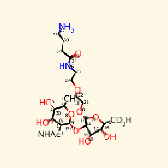 CC(=O)N[C@H]1C(O)[C@H](O)C(C)O[C@H]1OC1C(O)[C@H](O)C(C(=O)O)O[C@H]1OCCOCCNC(=O)CCCN